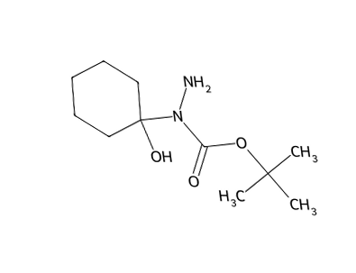 CC(C)(C)OC(=O)N(N)C1(O)CCCCC1